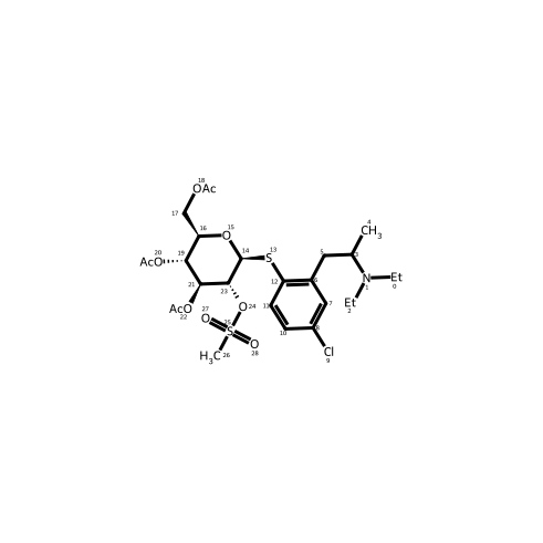 CCN(CC)C(C)Cc1cc(Cl)ccc1S[C@@H]1O[C@H](COC(C)=O)[C@@H](OC(C)=O)[C@H](OC(C)=O)[C@H]1OS(C)(=O)=O